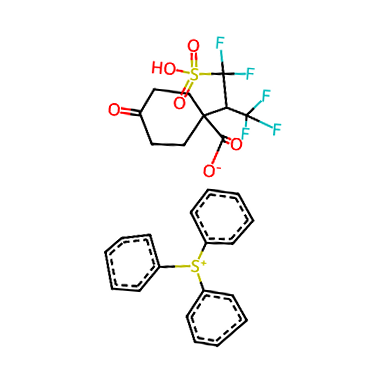 O=C1CCC(C(=O)[O-])(C(C(F)(F)F)C(F)(F)S(=O)(=O)O)CC1.c1ccc([S+](c2ccccc2)c2ccccc2)cc1